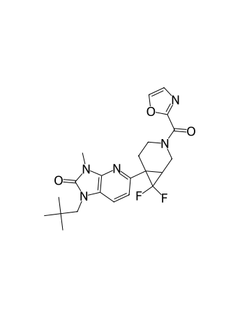 Cn1c(=O)n(CC(C)(C)C)c2ccc(C34CCN(C(=O)c5ncco5)CC3C4(F)F)nc21